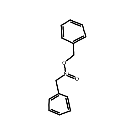 O=[N+](Cc1ccccc1)OCc1ccccc1